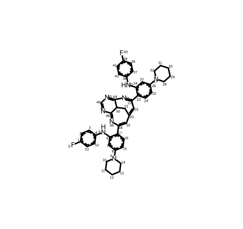 Fc1ccc(Nc2cc(N3CCCCC3)ccc2C2=CC3=CC(c4ccc(N5CCCCC5)cc4Nc4ccc(F)cc4)=NC4=NC=NC(=N2)C4C3)cc1